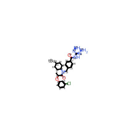 CC(Oc1cccc(Cl)c1)C(=O)N(Cc1ccc(C(=O)N/C(N=N)=N/N)cc1)C1CCC(C(C)(C)C)CC1